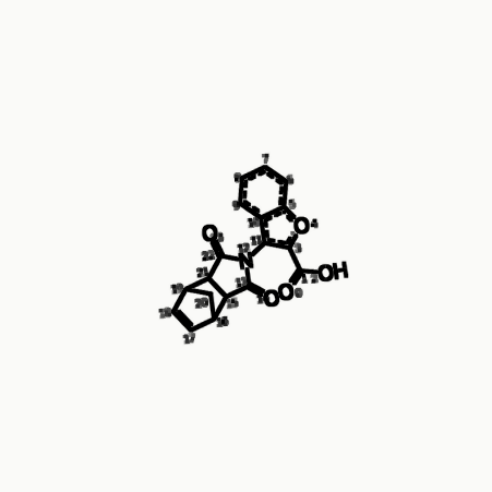 O=C(O)c1oc2ccccc2c1N1C(=O)C2C3C=CC(C3)C2C1=O